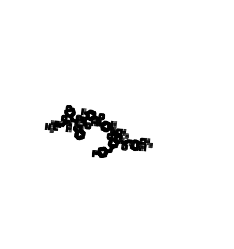 CNCC(=O)NC(C(=O)N1Cc2ccccc2[C@H]1C(=O)Nc1cc(C(=O)Nc2ccc(NC(=O)C3(C)CN(C(=O)CN4CCN[C@H](C)C4)c4cc(Cc5ccc(F)cc5)ccc43)cc2)ccc1F)C1CCOCC1